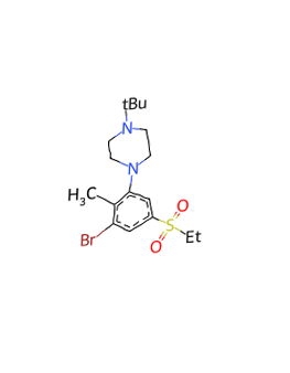 CCS(=O)(=O)c1cc(Br)c(C)c(N2CCN(C(C)(C)C)CC2)c1